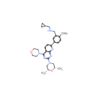 COc1ccc(-c2ccc3c(N4CCOCC4)nc(N4C[C@@H](C)O[C@@H](C)C4)nc3n2)cc1CNCC1CC1